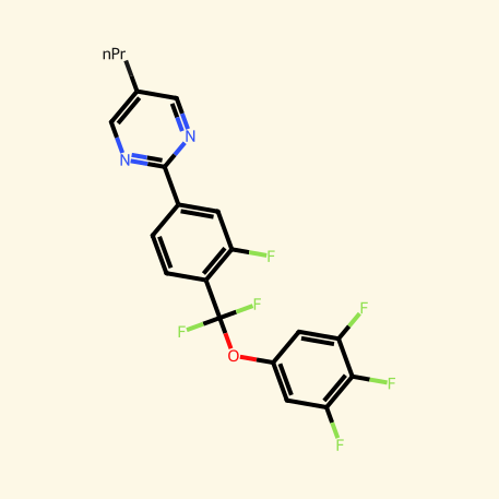 CCCc1cnc(-c2ccc(C(F)(F)Oc3cc(F)c(F)c(F)c3)c(F)c2)nc1